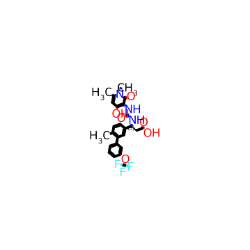 Cc1ccc([C@H](CC(=O)O)NC(=O)Nc2c(O)cc(C)n(C)c2=O)cc1-c1cccc(OC(F)(F)F)c1